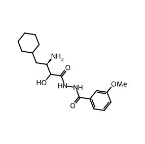 COc1cccc(C(=O)NNC(=O)C(O)[C@H](N)CC2CCCCC2)c1